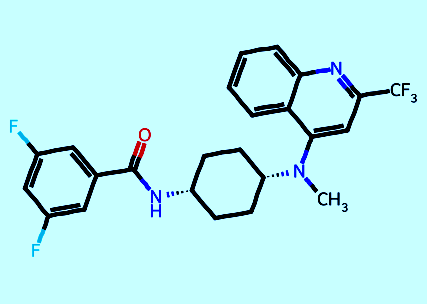 CN(c1cc(C(F)(F)F)nc2ccccc12)[C@H]1CC[C@@H](NC(=O)c2cc(F)cc(F)c2)CC1